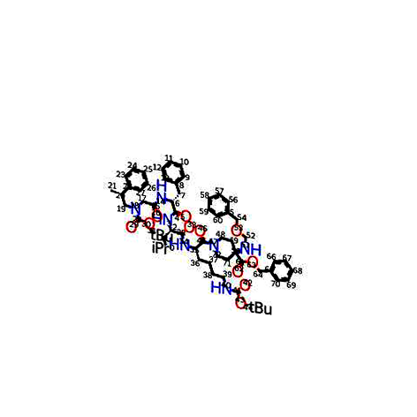 CC(C)C[C@@H](NC(=O)[C@@H](Cc1ccccc1)NC(=O)CN(C[C@@H](C)c1ccccc1)C(=O)OC(C)(C)C)C(=O)N[C@H](CCCCNC(=O)OC(C)(C)C)C(=O)N1CCC(NCOCc2ccccc2)(C(=O)OCc2ccccc2)CC1